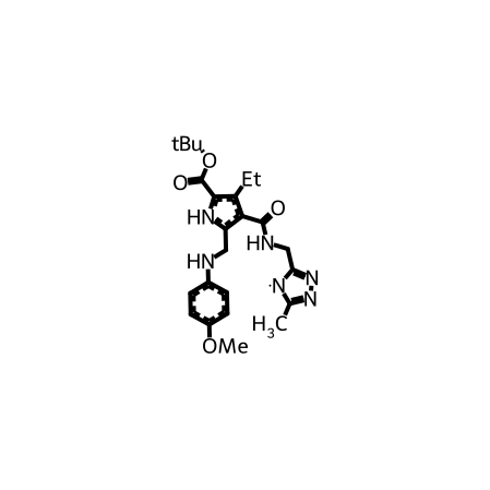 CCc1c(C(=O)OC(C)(C)C)[nH]c(CNc2ccc(OC)cc2)c1C(=O)NCC1=NN=C(C)[N]1